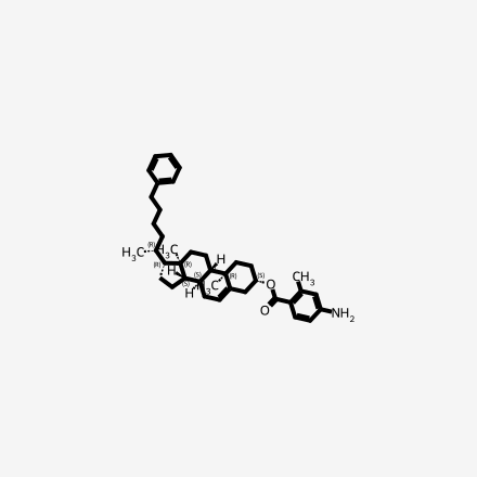 Cc1cc(N)ccc1C(=O)O[C@H]1CC[C@@]2(C)C(=CC[C@H]3[C@@H]4CC[C@H]([C@H](C)CCCCc5ccccc5)[C@@]4(C)CC[C@@H]32)C1